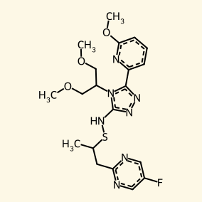 COCC(COC)n1c(NSC(C)Cc2ncc(F)cn2)nnc1-c1cccc(OC)n1